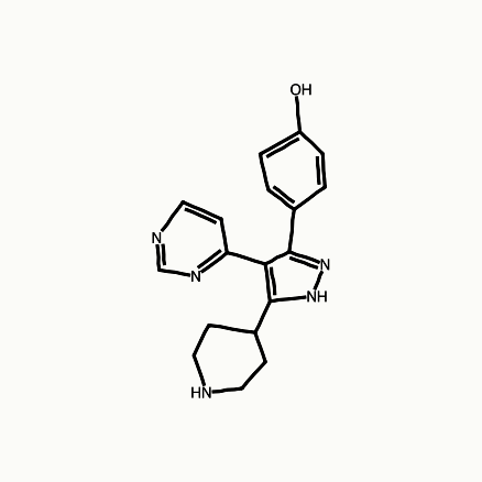 Oc1ccc(-c2n[nH]c(C3CCNCC3)c2-c2ccncn2)cc1